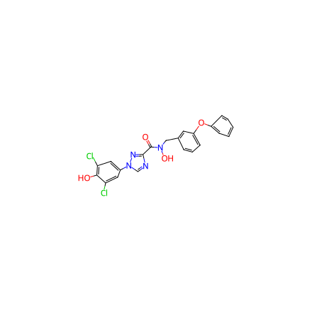 O=C(c1ncn(-c2cc(Cl)c(O)c(Cl)c2)n1)N(O)Cc1cccc(Oc2ccccc2)c1